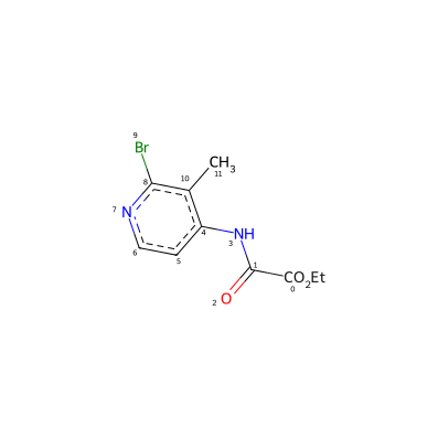 CCOC(=O)C(=O)Nc1ccnc(Br)c1C